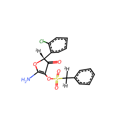 [2H]C([2H])(c1ccccc1)S(=O)(=O)OC1=C(N)O[C@]([2H])(c2ccccc2Cl)C1=O